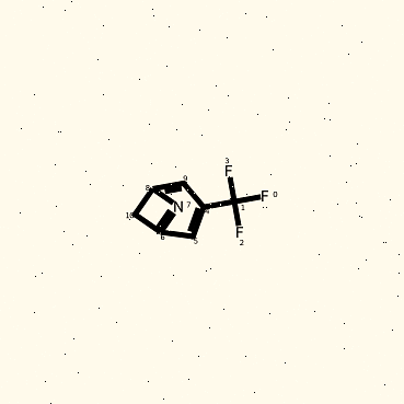 FC(F)(F)c1cc2nc(c1)C2